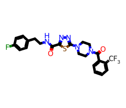 O=C(NCCc1ccc(F)cc1)c1nnc(N2CCN(C(=O)c3ccccc3C(F)(F)F)CC2)s1